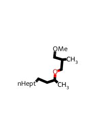 CCCCCCCCCC(C)OCC(C)COC